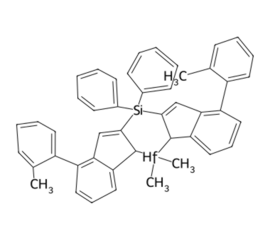 Cc1ccccc1-c1cccc2c1C=C1[CH]2[Hf]([CH3])([CH3])[CH]2C(=Cc3c(-c4ccccc4C)cccc32)[Si]1(c1ccccc1)c1ccccc1